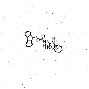 O=C(CNC(=O)OCC1c2ccccc2-c2ccccc21)NC1CC2CCC(C1)N2C(=O)O